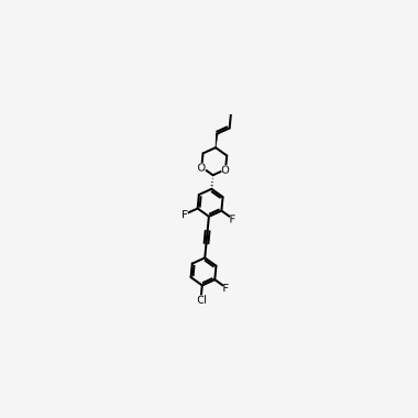 CC=C[C@H]1CO[C@H](c2cc(F)c(C#Cc3ccc(Cl)c(F)c3)c(F)c2)OC1